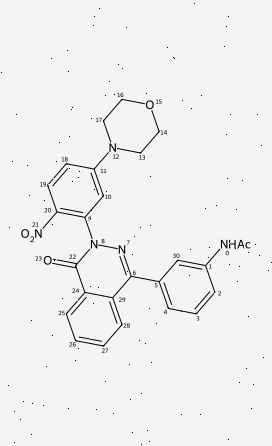 CC(=O)Nc1cccc(-c2nn(-c3cc(N4CCOCC4)ccc3[N+](=O)[O-])c(=O)c3ccccc23)c1